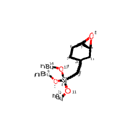 CCCCO[Si](CC1CCC2OC2C1)(OCCCC)OCCCC